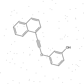 Oc1cccc(OC#Cc2cccc3ccccc23)c1